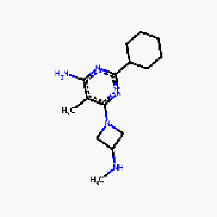 CNC1CN(c2nc(C3CCCCC3)nc(N)c2C)C1